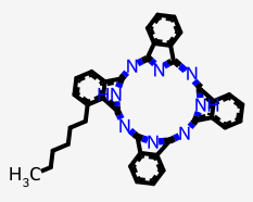 CCCCCCc1cccc2c3nc4nc(nc5[nH]c(nc6nc(nc([nH]3)c12)-c1ccccc1-6)c1ccccc51)-c1ccccc1-4